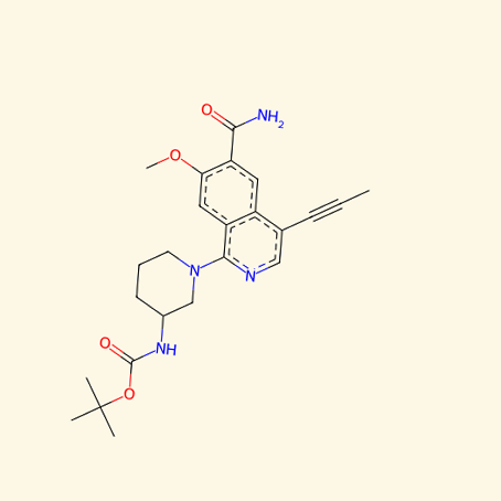 CC#Cc1cnc(N2CCCC(NC(=O)OC(C)(C)C)C2)c2cc(OC)c(C(N)=O)cc12